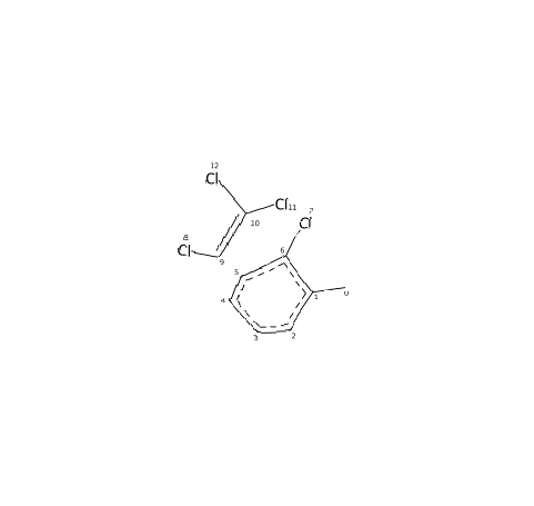 Cc1ccccc1Cl.ClC=C(Cl)Cl